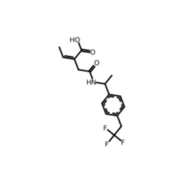 C/C=C(/CC(=O)NC(C)c1ccc(CC(F)(F)F)cc1)C(=O)O